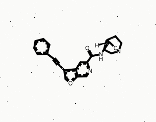 O=C(N[C@H]1CN2CCC1CC2)c1cc2c(C#Cc3ccccc3)coc2cn1